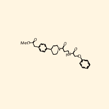 COC(=O)Cc1ccc(C2CCN(C(=O)CCNC(=O)COc3ccccc3)CC2)cc1